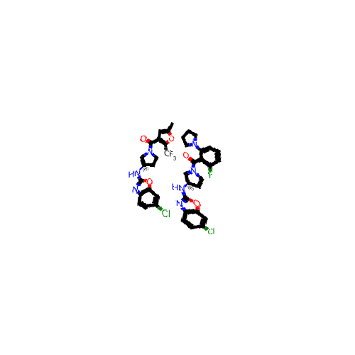 Cc1cc(C(=O)N2CC[C@@H](Nc3nc4ccc(Cl)cc4o3)C2)c(C(F)(F)F)o1.O=C(c1c(F)cccc1N1CCCC1)N1CC[C@@H](Nc2nc3ccc(Cl)cc3o2)C1